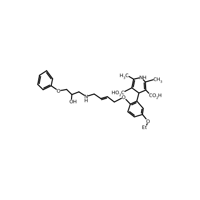 CCOc1ccc(OCC=CCNCC(O)COc2ccccc2)c(C2C(C(=O)O)=C(C)NC(C)=C2C(=O)O)c1